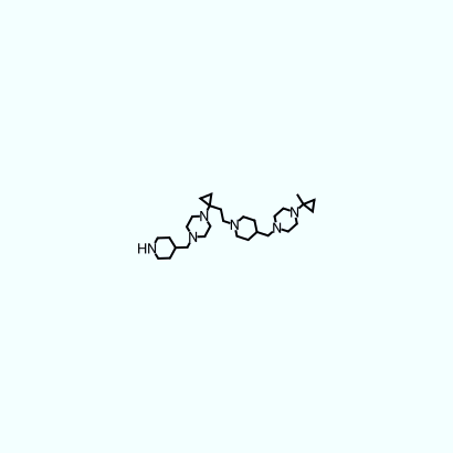 CC1(N2CCN(CC3CCN(CCC4(N5CCN(CC6CCNCC6)CC5)CC4)CC3)CC2)CC1